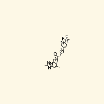 Cc1nc2cc(C)c3c(n2n1)CN(C(=O)CC1CN(c2ccc(C(F)(F)F)nc2)C1)C3